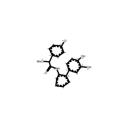 COC(C(=O)Nc1ccccc1-c1ccc(O)c(O)c1)c1ccc(Cl)cc1